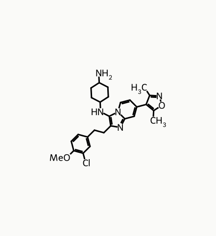 COc1ccc(CCc2nc3cc(-c4c(C)noc4C)ccn3c2NC2CCC(N)CC2)cc1Cl